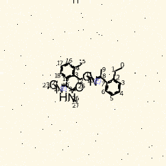 CCc1ccccc1/C(C)=N/OCc1c(C)cccc1/C(=N\OC)C(=O)NC